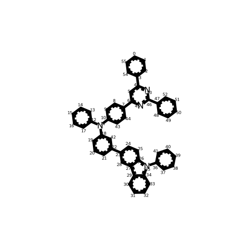 c1ccc(-c2cc(-c3ccc(N(c4ccccc4)c4cccc(-c5ccc6c(c5)c5ccccc5n6-c5ccccc5)c4)cc3)nc(-c3ccccc3)n2)cc1